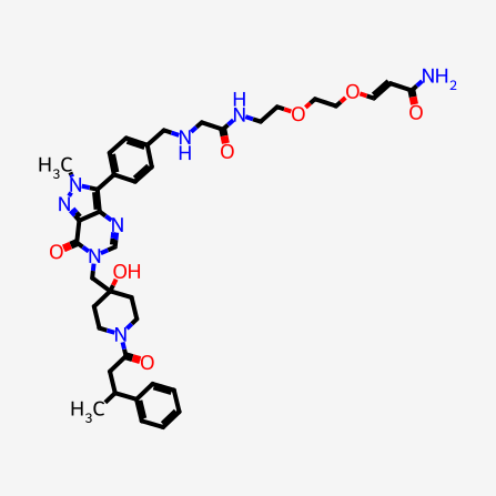 CC(CC(=O)N1CCC(O)(Cn2cnc3c(-c4ccc(CNCC(=O)NCCOCCOC=CC(N)=O)cc4)n(C)nc3c2=O)CC1)c1ccccc1